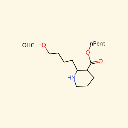 CCCCCOC(=O)C1CCCNC1CCCCOC=O